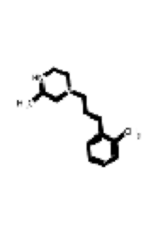 Cc1ccccc1CCCN1CCNC(C)C1